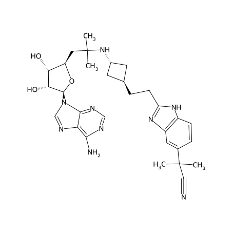 CC(C)(C[C@H]1O[C@@H](n2cnc3c(N)ncnc32)[C@H](O)[C@@H]1O)N[C@H]1C[C@H](CCc2nc3cc(C(C)(C)C#N)ccc3[nH]2)C1